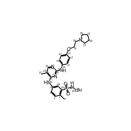 Cc1ccc(Nc2nc(Nc3ccc(OCCN4CCCC4)cc3)ncc2C)cc1S(=O)(=O)NC(C)(C)C